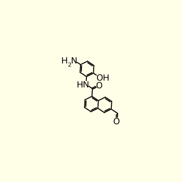 Nc1ccc(O)c(NC(=O)c2cccc3cc(C=O)ccc23)c1